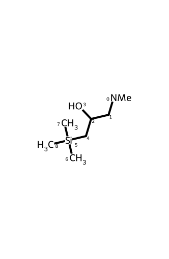 CNCC(O)C[Si](C)(C)C